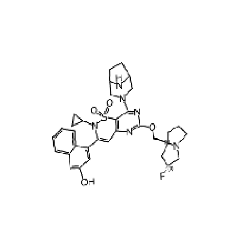 O=S1(=O)c2c(nc(OC[C@@]34CCCN3C[C@H](F)C4)nc2N2CC3CCC(C2)N3)C=C(c2cc(O)cc3ccccc23)N1C1CC1